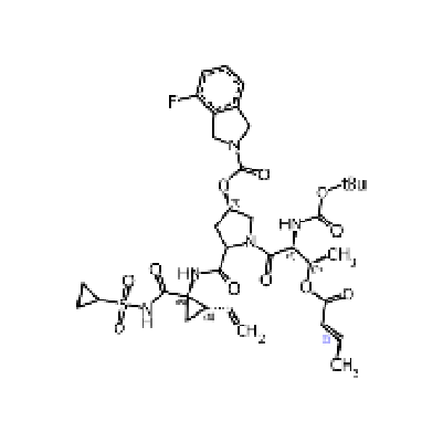 C=C[C@@H]1C[C@]1(NC(=O)C1C[C@@H](OC(=O)N2Cc3cccc(F)c3C2)CN1C(=O)[C@@H](NC(=O)OC(C)(C)C)[C@@H](C)OC(=O)/C=C/C)C(=O)NS(=O)(=O)C1CC1